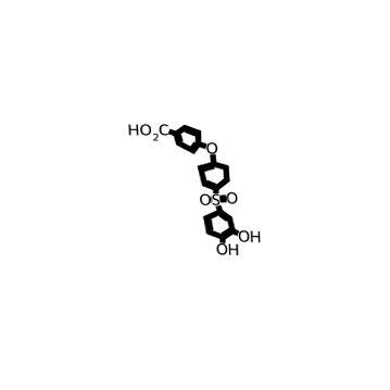 O=C(O)c1ccc(OC2=CC=C(S(=O)(=O)c3ccc(O)c(O)c3)CC2)cc1